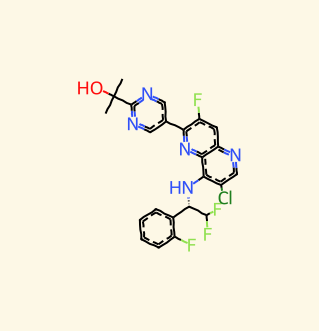 CC(C)(O)c1ncc(-c2nc3c(N[C@@H](c4ccccc4F)C(F)F)c(Cl)cnc3cc2F)cn1